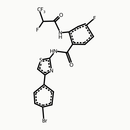 O=C(Nc1nc(-c2ccc(Br)cc2)cs1)c1ccc(F)cc1NC(=O)C(F)C(F)(F)F